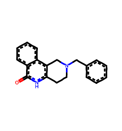 O=c1[nH]c2c(c3ccccc13)CN(Cc1ccccc1)CC2